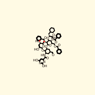 CC1OC(OC2C(NC(=O)c3cc(O)nc(O)n3)CC(C=O)CC2OC2OC(COC(=O)c3ccccc3)C(OC(=O)c3ccccc3)C(O[C@@H](CC3CCCCC3)C(=O)O)C2OC(=O)c2ccccc2)C(O)=CC1O